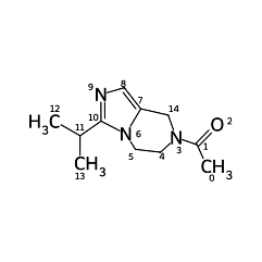 CC(=O)N1CCn2c(cnc2C(C)C)C1